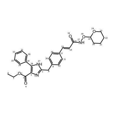 CCOC(=O)c1nc(Cc2ccc(/C=C/C(=O)NOC3CCCCO3)cc2)[nH]c1-c1ccccc1